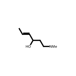 CC=CC(O)CCNC